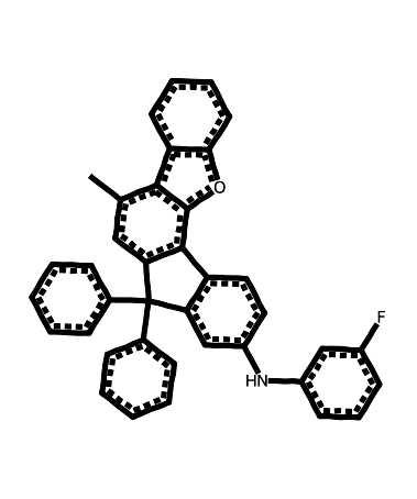 Cc1cc2c(c3oc4ccccc4c13)-c1ccc(Nc3cccc(F)c3)cc1C2(c1ccccc1)c1ccccc1